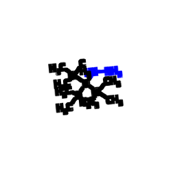 C[Si](C)(C)[Si](NN)([Si](C)(C)C)[Si](C)(C)C